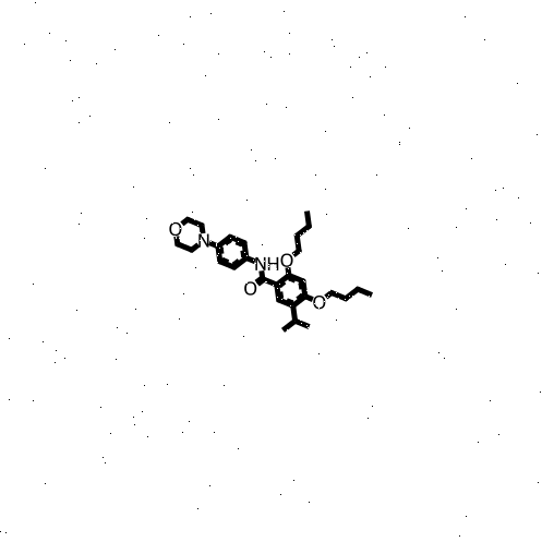 CCCCOc1cc(OCCCC)c(C(C)C)cc1C(=O)Nc1ccc(N2CCOCC2)cc1